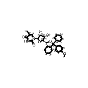 COc1ccc(C(OC[C@H]2O[C@@H](n3cc(C)c(=O)[nH]c3=O)[C@H](I)[C@@H]2O)(c2ccccc2)c2ccccc2)cc1